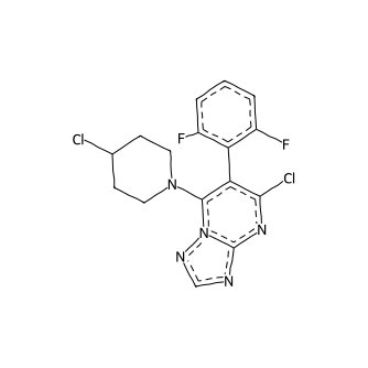 Fc1cccc(F)c1-c1c(Cl)nc2ncnn2c1N1CCC(Cl)CC1